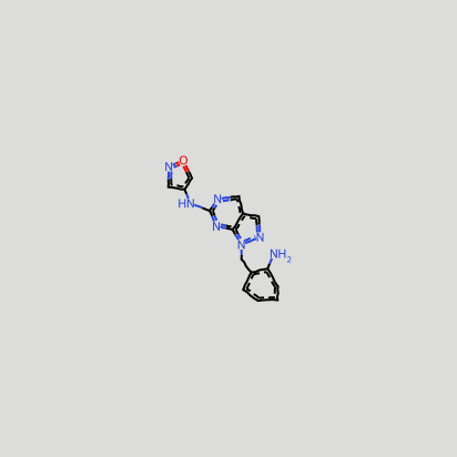 Nc1ccccc1Cn1ncc2cnc(Nc3cnoc3)nc21